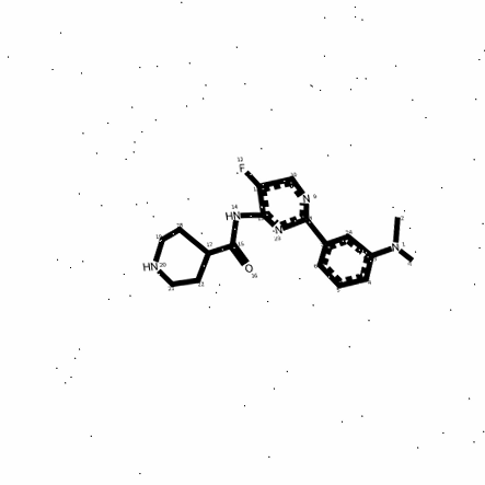 CN(C)c1cccc(-c2ncc(F)c(NC(=O)C3CCNCC3)n2)c1